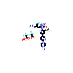 Cc1cc(-c2ccc(N3CCNCC3)nc2)cnc1-n1c(CC(CN)=C(F)F)n[nH]c1=O.O=C(O)C(F)(F)F.O=C(O)C(F)(F)F